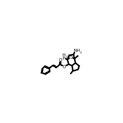 CC1CCC2C1C(OC(=O)/C=C/c1ccccc1)C1(P)CC(N)C2(C)O1